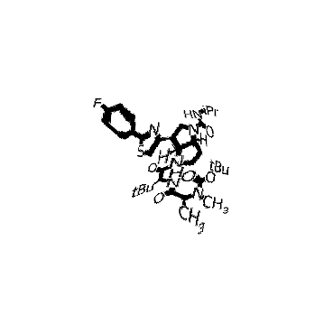 CC(C)NC(=O)N1C[C@H](c2csc(-c3ccc(F)cc3)n2)[C@@H]2[C@H]1CCN2C(=O)[C@@H](NC(=O)[C@H](C)N(C)C(=O)OC(C)(C)C)C(C)(C)C